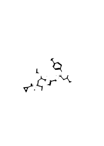 CC(=O)OC(CC(C(C)C)N(C)C(=O)C1CC1)c1nc(C(=O)N[C@@H](Cc2ccc(C(F)(F)F)cc2)CC(C)C(=O)O)cs1